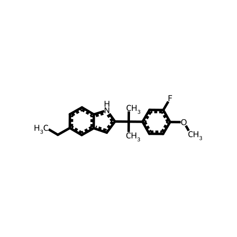 CCc1ccc2[nH]c(C(C)(C)c3ccc(OC)c(F)c3)cc2c1